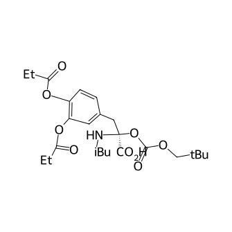 CCC(=O)Oc1ccc(C[C@](NC(C)CC)(OC(=O)OCC(C)(C)C)C(=O)O)cc1OC(=O)CC